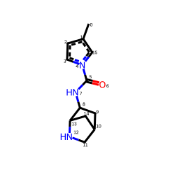 Cc1ccn(C(=O)NC2CC3CNC2C3)c1